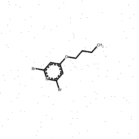 CCCCOc1cc(Br)nc(Br)c1